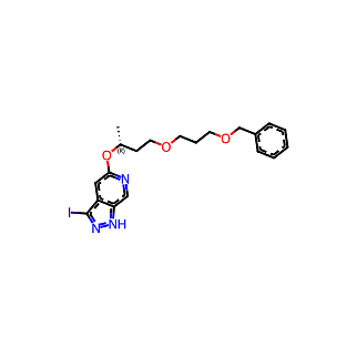 C[C@H](CCOCCCOCc1ccccc1)Oc1cc2c(I)n[nH]c2cn1